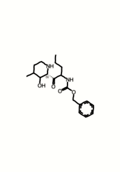 CCCC(NC(=O)OCc1ccccc1)C(=O)[C@H]1NCCC(C)C1O